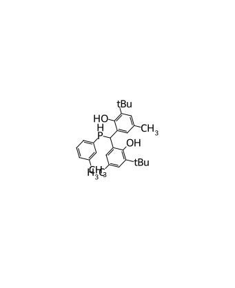 Cc1cccc(PC(c2cc(C)cc(C(C)(C)C)c2O)c2cc(C)cc(C(C)(C)C)c2O)c1